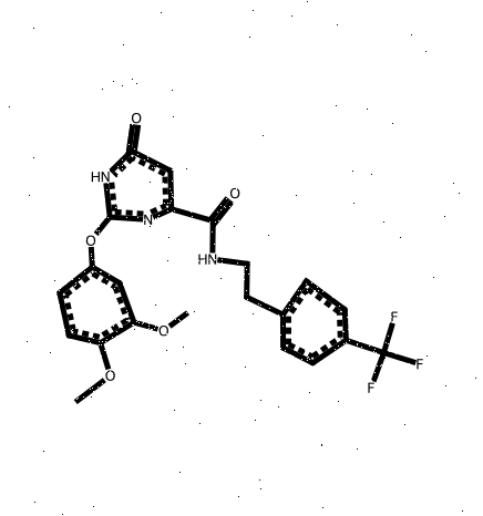 COc1ccc(Oc2nc(C(=O)NCCc3ccc(C(F)(F)F)cc3)cc(=O)[nH]2)cc1OC